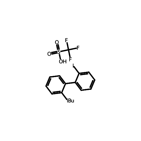 CCC(C)c1ccccc1-c1ccccc1I.O=S(=O)(O)C(F)(F)F